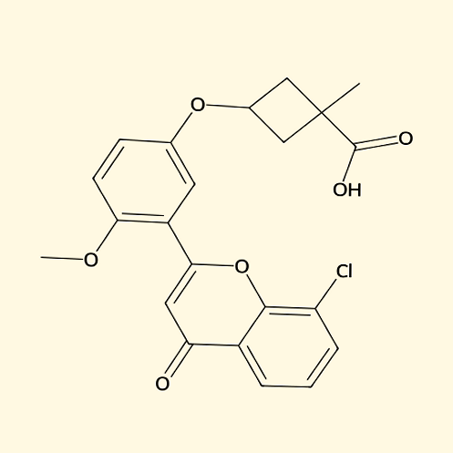 COc1ccc(OC2CC(C)(C(=O)O)C2)cc1-c1cc(=O)c2cccc(Cl)c2o1